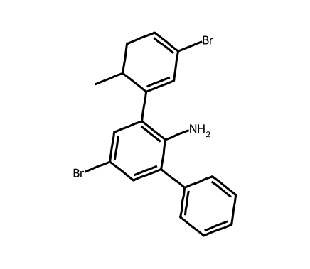 CC1CC=C(Br)C=C1c1cc(Br)cc(-c2ccccc2)c1N